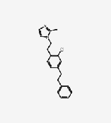 Cc1nccn1CCc1ccc(CCc2ccccc2)cc1Cl